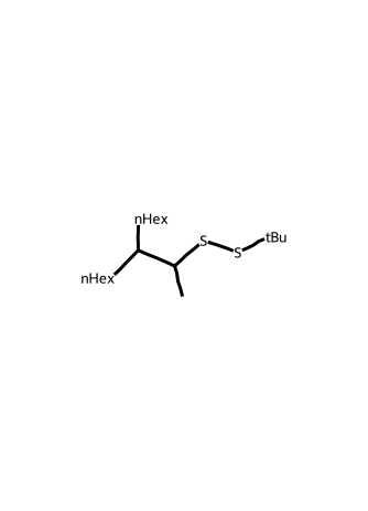 CCCCCCC(CCCCCC)C(C)SSC(C)(C)C